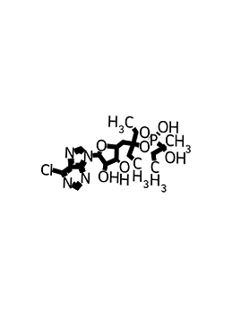 CCC(CC)(CC1OC(n2cnc3c(Cl)ncnc32)C(O)[C@@H]1O)OP(=O)(O)C(C)(O)CC